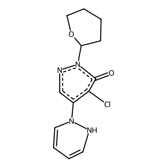 O=c1c(Cl)c(N2C=CC=CN2)cnn1C1CCCCO1